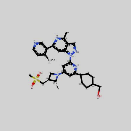 COc1ccncc1-c1cc2c(cnn2-c2cc(N3C[C@H](CS(C)(=O)=O)[C@H]3C)cc(C3CCC(CO)CC3)n2)c(C)n1